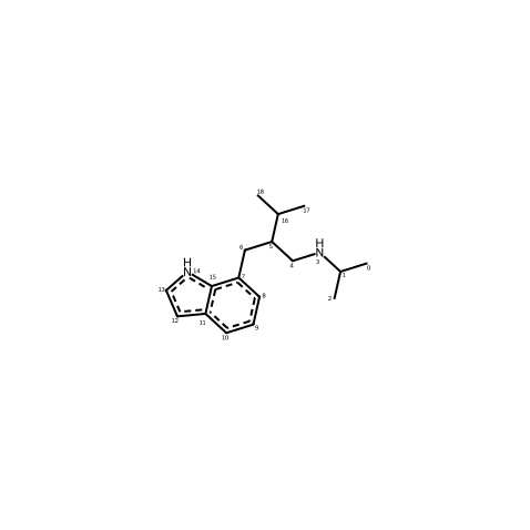 CC(C)NCC(Cc1cccc2cc[nH]c12)C(C)C